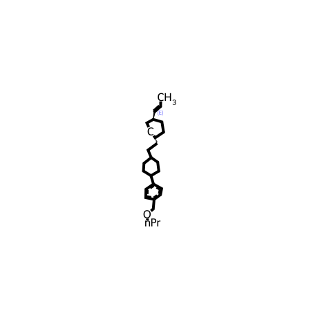 C/C=C/[C@H]1CC[C@H](CCC2CCC(c3ccc(COCCC)cc3)CC2)CC1